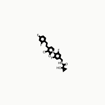 O=C(NCc1cc(F)c(-n2ccc(CCc3ccc(F)cc3F)c(Cl)c2=O)c(F)c1)C1(O)CC1